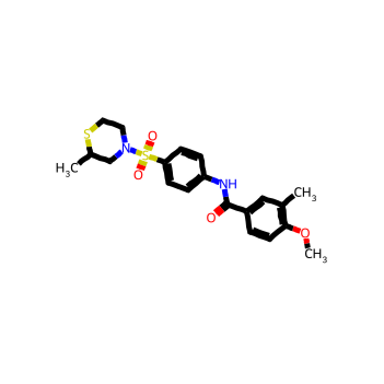 COc1ccc(C(=O)Nc2ccc(S(=O)(=O)N3CCSC(C)C3)cc2)cc1C